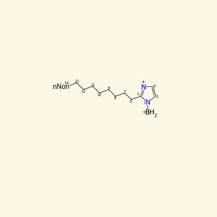 Bn1ccnc1CCCCCCCCCCCCCCCCC